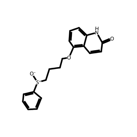 O=c1ccc2c(OCCCC[S+]([O-])c3ccccc3)cccc2[nH]1